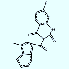 Cn1cc(C(=O)C2C(=O)Nc3cc(Cl)ccc3C2=O)c2ccccc21